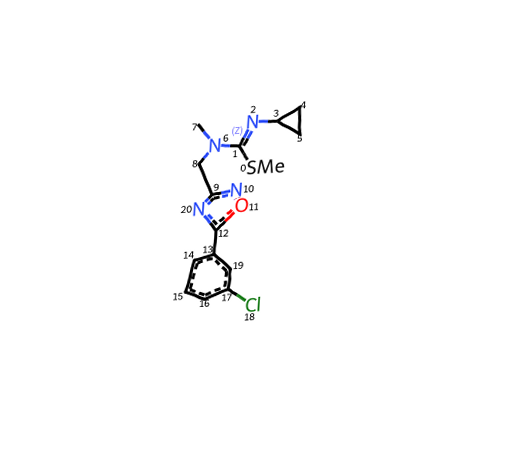 CS/C(=N\C1CC1)N(C)Cc1noc(-c2cccc(Cl)c2)n1